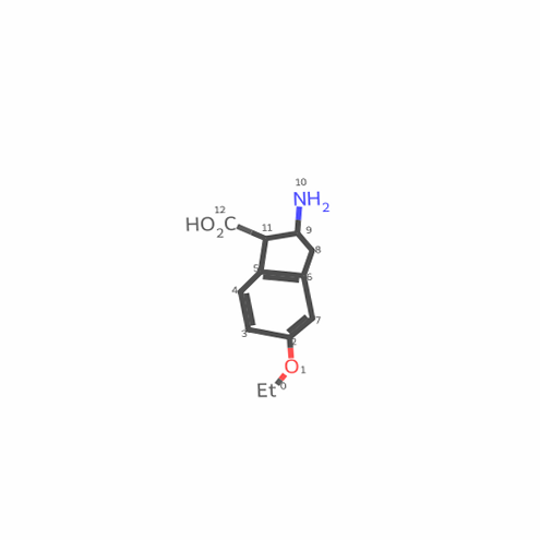 CCOc1ccc2c(c1)CC(N)C2C(=O)O